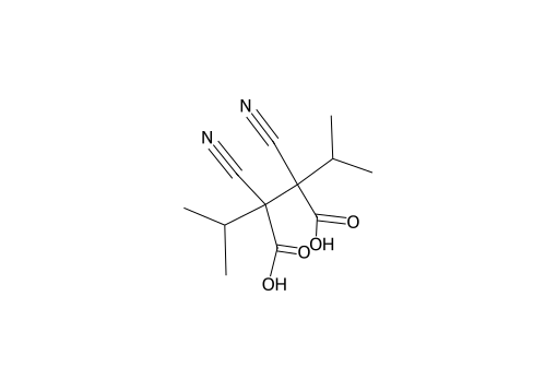 CC(C)C(C#N)(C(=O)O)C(C#N)(C(=O)O)C(C)C